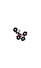 O=C(C=P(c1ccccc1)(c1ccccc1)c1ccccc1)C(F)Cc1ccccc1